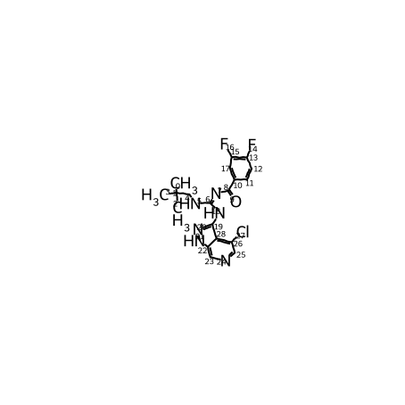 CC(C)(C)CN/C(=N/C(=O)c1ccc(F)c(F)c1)Nc1n[nH]c2cncc(Cl)c12